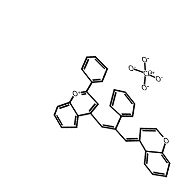 C1=CC(=CC(=Cc2cc(-c3ccccc3)[o+]c3ccccc23)c2ccccc2)c2ccccc2O1.[O-][Cl+3]([O-])([O-])[O-]